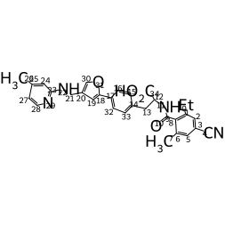 CCc1cc(C#N)cc(C)c1C(=O)NC(Cc1ccc(-c2cc(CNc3cc(C)ccn3)co2)cc1)C(=O)O